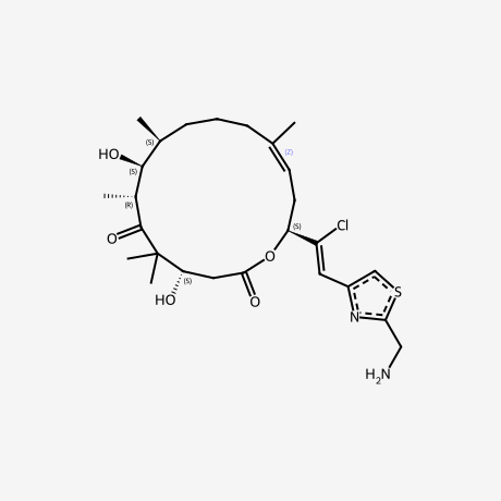 C/C1=C/C[C@@H](C(Cl)=Cc2csc(CN)n2)OC(=O)C[C@H](O)C(C)(C)C(=O)[C@H](C)[C@@H](O)[C@@H](C)CCC1